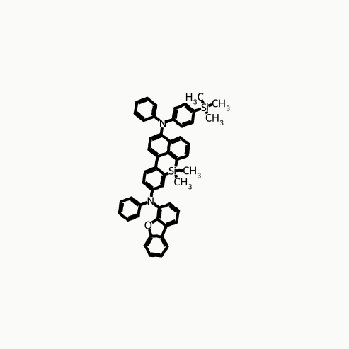 C[Si](C)(C)c1ccc(N(c2ccccc2)c2ccc3c4c(cccc24)[Si](C)(C)c2cc(N(c4ccccc4)c4cccc5c4oc4ccccc45)ccc2-3)cc1